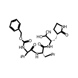 CC(C)C[C@H](NC(=O)C(NC(=O)OCc1ccccc1)C(C)C)C(=O)N[C@@H](C[C@@H]1CCNC1=O)C(O)C#N